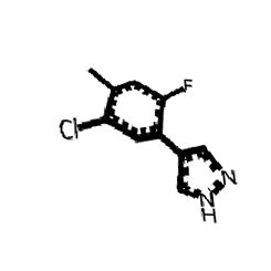 Cc1cc(F)c(-c2cn[nH]c2)cc1Cl